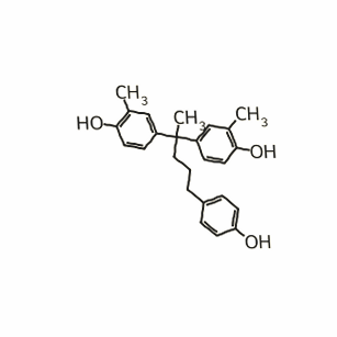 Cc1cc(C(C)(CCCc2ccc(O)cc2)c2ccc(O)c(C)c2)ccc1O